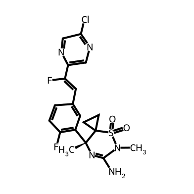 CN1C(N)=N[C@](C)(c2cc(/C=C(\F)c3cnc(Cl)cn3)ccc2F)C2(CC2)S1(=O)=O